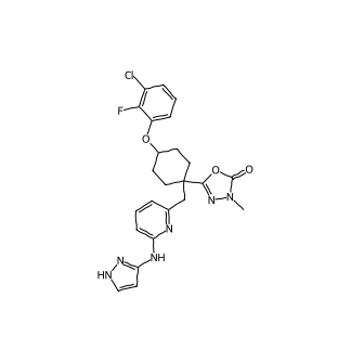 Cn1nc(C2(Cc3cccc(Nc4cc[nH]n4)n3)CCC(Oc3cccc(Cl)c3F)CC2)oc1=O